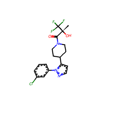 C[C@@](O)(C(=O)N1CCC(c2ccnn2-c2cccc(Cl)c2)CC1)C(F)(F)F